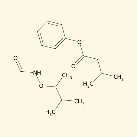 CC(C)C(C)ONC=O.CC(C)CC(=O)Oc1ccccc1